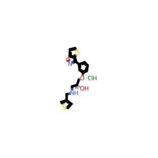 Cl.O[C@H](CNCc1ccsc1)COc1cccc(-c2noc3ccsc23)c1